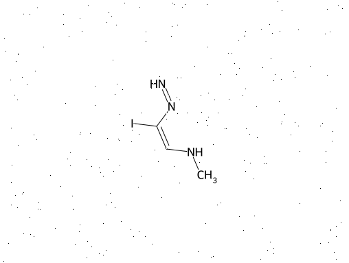 CN/C=C(/I)N=N